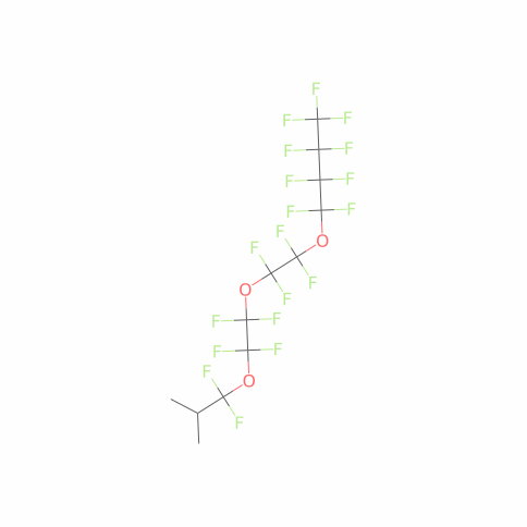 CC(C)C(F)(F)OC(F)(F)C(F)(F)OC(F)(F)C(F)(F)OC(F)(F)C(F)(F)C(F)(F)C(F)(F)F